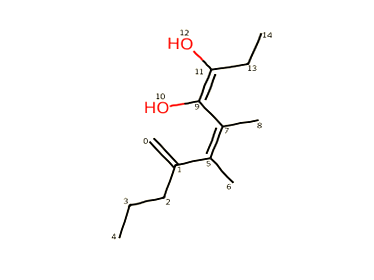 C=C(CCC)C(C)=C(C)/C(O)=C(/O)CC